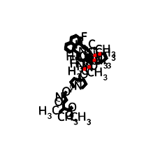 COC(=O)C(c1cc(OC[C@@H]2CC[C@]3(COc4nc(N5CC6CCC(C5)N6C(=O)OC(C)(C)C)c5cnc(-c6cccc7ccc(F)c(C#C[Si](C(C)C)(C(C)C)C(C)C)c67)c(F)c5n4)CCCN23)no1)C(C)C